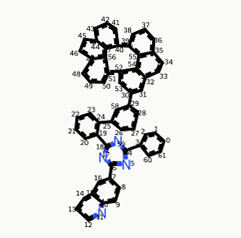 c1ccc(-c2nc(-c3ccc4ncccc4c3)nc(-c3ccccc3-c3cccc(-c4cc5ccc6cccc7c8cccc9ccc%10cccc(c(c4)c5c67)c%10c98)c3)n2)cc1